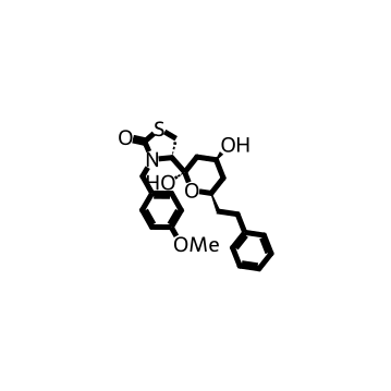 COc1ccc(CN2C(=O)SC[C@@H]2[C@@]2(O)C[C@@H](O)C[C@@H](CCc3ccccc3)O2)cc1